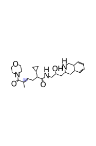 C/C(=C\CC(C(=O)NCC(O)CC1CC2C=CC=CC2CN1)C1CC1)C(=O)N1CCOCC1